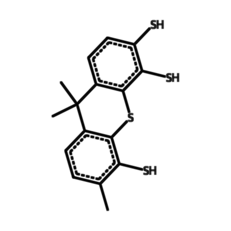 Cc1ccc2c(c1S)Sc1c(ccc(S)c1S)C2(C)C